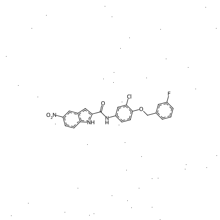 O=C(Nc1ccc(OCc2cccc(F)c2)c(Cl)c1)c1cc2cc([N+](=O)[O-])ccc2[nH]1